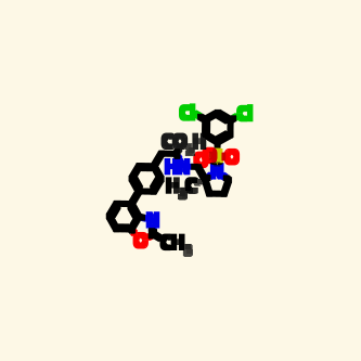 Cc1nc2c(-c3ccc(CC(NC(=O)[C@]4(C)CCCN4S(=O)(=O)c4cc(Cl)cc(Cl)c4)C(=O)O)cc3)cccc2o1